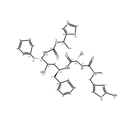 CC(C)c1nc(CN(C)C(=O)N[C@H](C(=O)N[C@@H](Cc2ccccc2)CC(O)[C@H](Cc2ccccc2)NC(=O)OC(C)c2cncs2)C(C)C)cs1